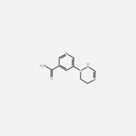 NC(=O)c1cncc(N2CCN=CN2)c1